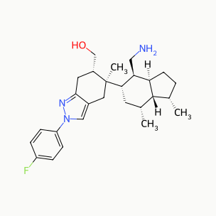 C[C@@H]1C[C@H]([C@@]2(C)Cc3cn(-c4ccc(F)cc4)nc3C[C@@H]2CO)[C@@H](CN)[C@H]2CC[C@H](C)[C@@H]21